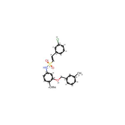 COc1ccc(NS(=O)(=O)/C=C/c2cccc(Cl)c2)cc1OCc1cccc(C)c1